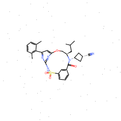 Cc1cccc(C)c1-c1cc2nc(n1)NS(=O)(=O)c1cccc(c1)C(=O)N([C@H]1C[C@@H](C#N)C1)[C@H](CC(C)C)CO2